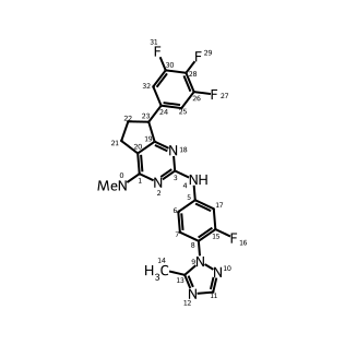 CNc1nc(Nc2ccc(-n3ncnc3C)c(F)c2)nc2c1CCC2c1cc(F)c(F)c(F)c1